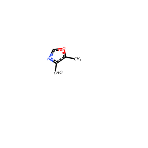 Cc1ocnc1C=O